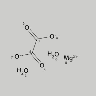 O.O.O=C([O-])C(=O)[O-].[Mg+2]